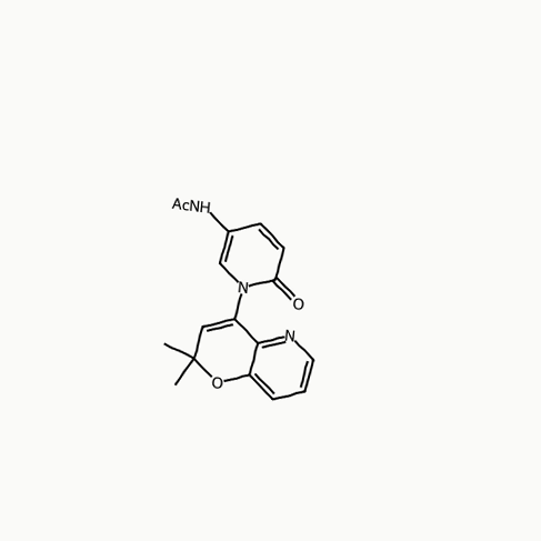 CC(=O)Nc1ccc(=O)n(C2=CC(C)(C)Oc3cccnc32)c1